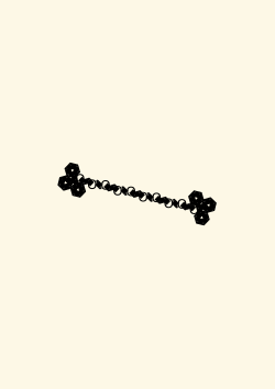 c1ccc(C(OCCOCCOCCOCCOCCOCCOCCOCCOCCOC(c2ccccc2)(c2ccccc2)c2ccccc2)(c2ccccc2)c2ccccc2)cc1